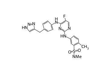 CNS(=O)(=O)c1cc(Nc2ncc(F)c(Nc3ccc(Cc4c[nH]nn4)cc3)n2)ccc1C